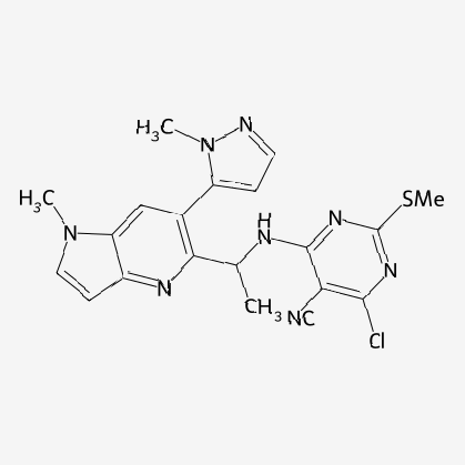 CSc1nc(Cl)c(C#N)c(NC(C)c2nc3ccn(C)c3cc2-c2ccnn2C)n1